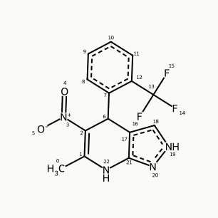 CC1=C([N+](=O)[O-])C(c2ccccc2C(F)(F)F)c2c[nH]nc2N1